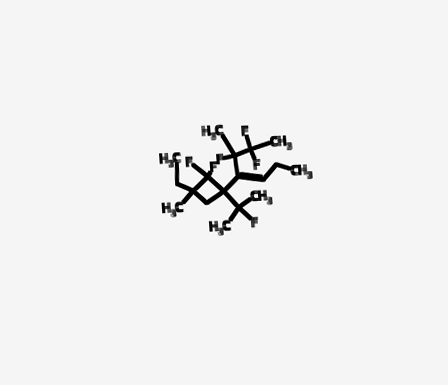 CCC=C(C(C)(F)C(C)(F)F)C1(C(C)(C)F)CC(C)(CC)C1(F)F